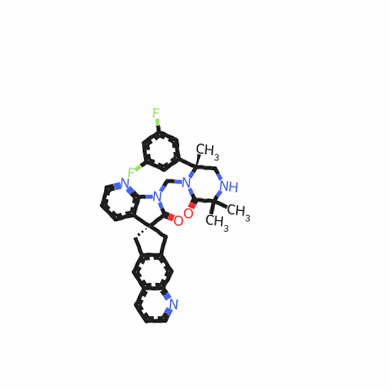 CC1(C)NC[C@@](C)(c2cc(F)cc(F)c2)N(CN2C(=O)[C@]3(Cc4cc5cccnc5cc4C3)c3cccnc32)C1=O